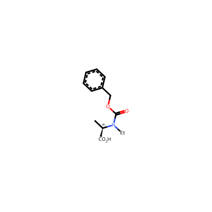 CCN(C(=O)OCc1ccccc1)[C@H](C)C(=O)O